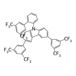 FC(F)(F)c1cc(-c2ccc3c(c2)c2cc(-c4cc(C(F)(F)F)cc(C(F)(F)F)c4)ccc2n3-c2ccccc2-c2cc(C(F)(F)F)cc(C(F)(F)F)c2)cc(C(F)(F)F)c1